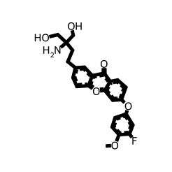 COc1ccc(Oc2ccc3c(=O)c4cc(CCC(N)(CO)CO)ccc4oc3c2)cc1F